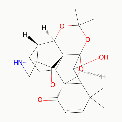 CC1(C)O[C@@H]2[C@H]3CCC4[C@@]56COC(O1)([C@@H](O)C5C(C)(C)C=CC6=O)[C@]42C(=O)C31CN1